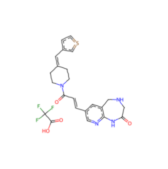 O=C(O)C(F)(F)F.O=C1CNCc2cc(C=CC(=O)N3CCC(=Cc4ccsc4)CC3)cnc2N1